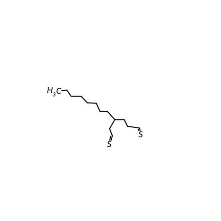 CCCCCCCCC(CC=S)CCC=S